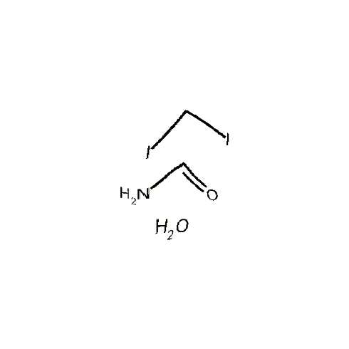 ICI.NC=O.O